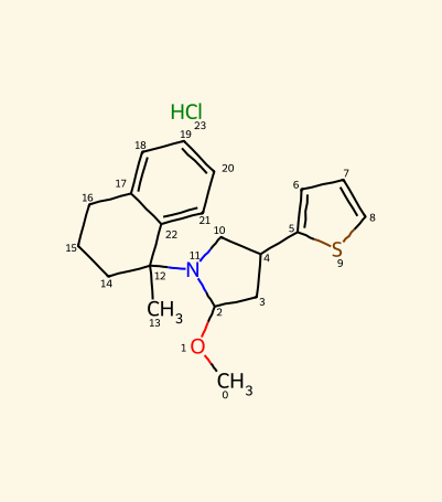 COC1CC(c2cccs2)CN1C1(C)CCCc2ccccc21.Cl